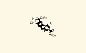 CO[C@H](C)c1nc2c(cc1C=O)C[C@@H]1CN(C(=O)OC(C)(C)C)C[C@@H](C)N21